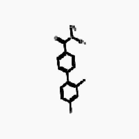 CN(C)C(=O)c1ccc(-c2ccc(F)cc2F)cc1